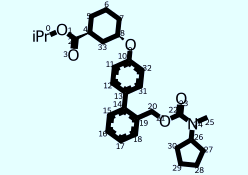 CC(C)OC(=O)[C@H]1CCC[C@H](Oc2ccc(-c3ccccc3COC(=O)N(C)C3CCCC3)cc2)C1